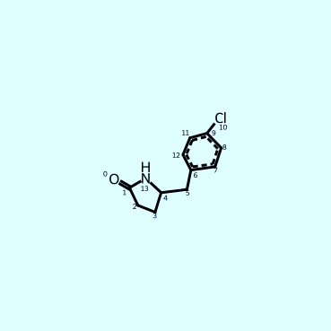 O=C1CCC(Cc2ccc(Cl)cc2)N1